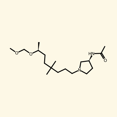 COCO[C@@H](C)CCC(C)(C)CCCN1CC[C@H](NC(C)=O)C1